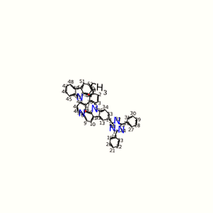 Cc1ccc(-n2c3ccccc3c3cc(-c4nc(-c5ccccc5)nc(-c5ccccc5)n4)ccc32)c(-c2cnccc2-n2c3ccccc3c3ccccc32)c1